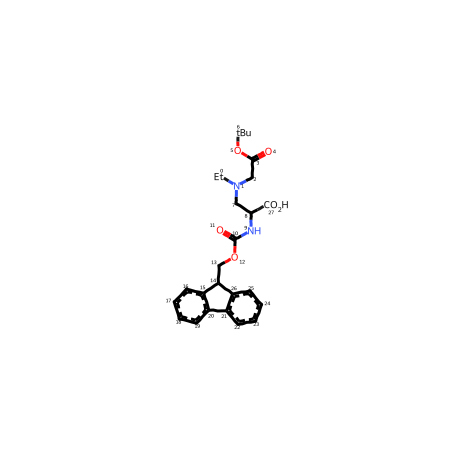 CCN(CC(=O)OC(C)(C)C)CC(NC(=O)OCC1c2ccccc2-c2ccccc21)C(=O)O